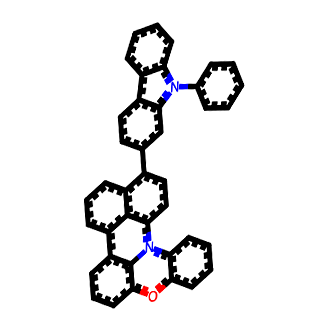 c1ccc(-n2c3ccccc3c3ccc(-c4ccc5c6c4cccc6c4cccc6oc7ccccc7n5-c64)cc32)cc1